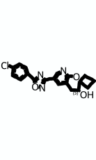 O[C@H]1Cc2cc(-c3noc(-c4ccc(Cl)cc4)n3)cnc2OC12CCC2